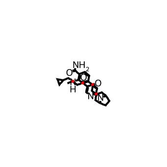 CCCC(=O)c1ccc(N2C3CCC2CC(CC(=O)c2ccc(C(N)=O)c(NCC4CC4)c2)C3)nc1